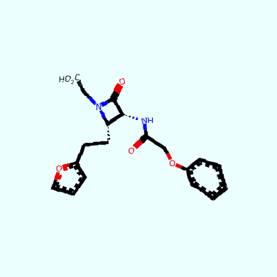 O=C(O)CN1C(=O)[C@H](NC(=O)COc2ccccc2)[C@@H]1CCc1ccco1